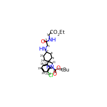 CCOC(=O)CNC(=O)CNC1CCC(CNC(=O)OC(C)(C)C)(c2cccc(Cl)c2)CC1